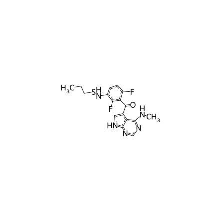 CCCSNc1ccc(F)c(C(=O)c2c[nH]c3ncnc(NC)c23)c1F